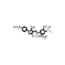 Cc1cc(S(=O)(=O)O)c(N=Nc2c(C(=O)O)nn(-c3ccc(S(=O)(=O)O)cc3)c2O)cc1S(=O)(=O)O